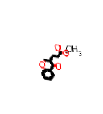 COC(=O)CCC1COc2ccccc2C1=O